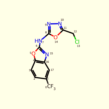 FC(F)(F)c1ccc2oc(Nc3nnc(CCl)o3)nc2c1